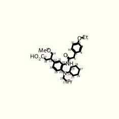 CCOc1ccc(CC(=O)Nc2cc(C(COC)CC(=O)O)ccc2N(CC(C)C)C2CCCCC2)cc1